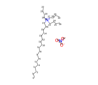 CCCCCCCCCCCCCCCCCC[N+](CCCC)(CCCC)CCCC.O=[N+]([O-])[O-]